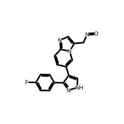 O=NCc1cnc2ccc(-c3c[nH]nc3-c3ccc(F)cc3)cn12